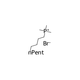 CCCCCCCCC[P+](C)(C)C.[Br-]